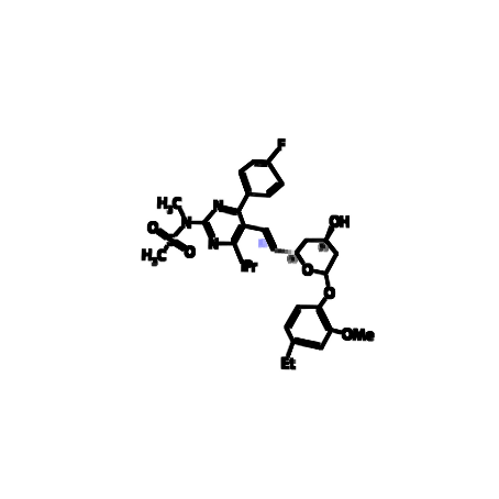 CCc1ccc(OC2C[C@H](O)C[C@@H](/C=C/c3c(-c4ccc(F)cc4)nc(N(C)S(C)(=O)=O)nc3C(C)C)O2)c(OC)c1